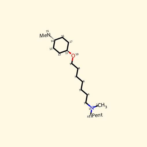 CCCCCN(C)CCCCCCCO[C@H]1CC[C@H](NC)CC1